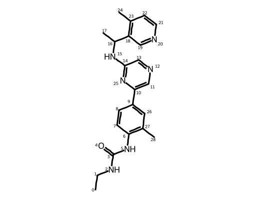 CCNC(=O)Nc1ccc(-c2cncc(NC(C)c3cnccc3C)n2)cc1C